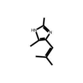 CC(C)=Cc1nc(C)[nH]c1C